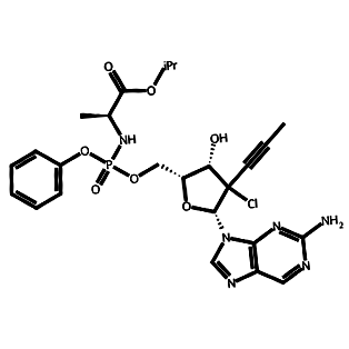 CC#CC1(Cl)[C@@H](O)[C@@H](COP(=O)(N[C@@H](C)C(=O)OC(C)C)Oc2ccccc2)O[C@H]1n1cnc2cnc(N)nc21